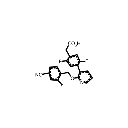 N#Cc1ccc(COc2ncccc2-c2cc(F)c(CC(=O)O)cc2F)c(F)c1